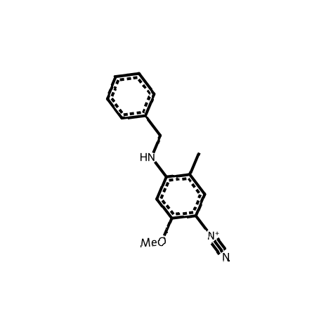 COc1cc(NCc2ccccc2)c(C)cc1[N+]#N